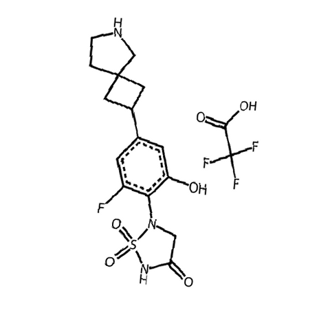 O=C(O)C(F)(F)F.O=C1CN(c2c(O)cc(C3CC4(CCNC4)C3)cc2F)S(=O)(=O)N1